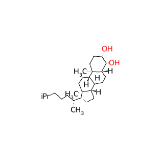 CC(C)CCC[C@@H](C)[C@H]1CC[C@H]2[C@@H]3CC[C@H]4[C@@H](O)[C@@H](O)CC[C@]4(C)[C@H]3CC[C@]12C